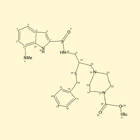 CNc1cccc2cc(C(=O)NCC(CN3CCN(C(=O)OC(C)(C)C)CC3)SCc3ccccc3)[nH]c12